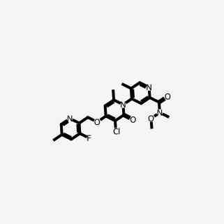 CON(C)C(=O)c1cc(-n2c(C)cc(OCc3ncc(C)cc3F)c(Cl)c2=O)c(C)cn1